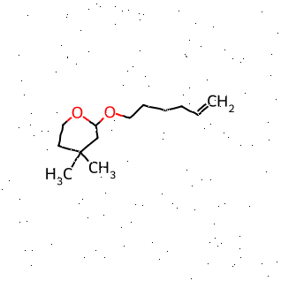 C=CCCCCOC1CC(C)(C)CCO1